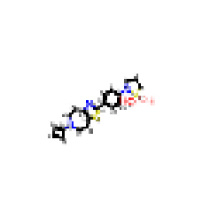 OS1(O)CCCN1c1ccc(-c2nc3c(s2)CCN(C2=CC=C2)CC3)cc1